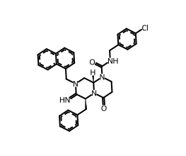 N=C1[C@H](Cc2ccccc2)N2C(=O)CCN(C(=O)NCc3ccc(Cl)cc3)[C@H]2CN1Cc1cccc2ccccc12